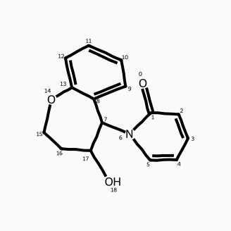 O=c1ccccn1C1c2ccccc2OCCC1O